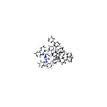 c1ccc(-c2cccc([Si](c3ccccc3)(c3ccccc3)c3cc(-c4cc(-n5c6ccccc6c6ccccc65)nc(-n5c6ccccc6c6ccccc65)n4)cc([Si](c4ccccc4)(c4cccc(-c5ccccc5)c4)c4cccc(-c5ccccc5)c4)c3)c2)cc1